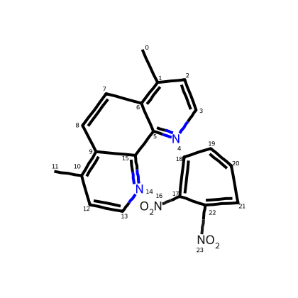 Cc1ccnc2c1ccc1c(C)ccnc12.O=[N+]([O-])c1ccccc1[N+](=O)[O-]